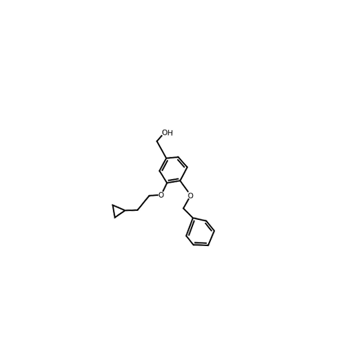 OCc1ccc(OCc2ccccc2)c(OCCC2CC2)c1